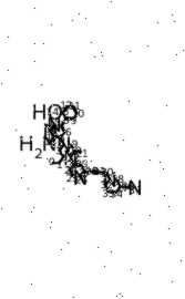 CCC1CN(c2cc(-c3ccccc3O)nnc2N)CC(C)N1c1ccnc(C#CCN2CCCC(C#N)C2)c1